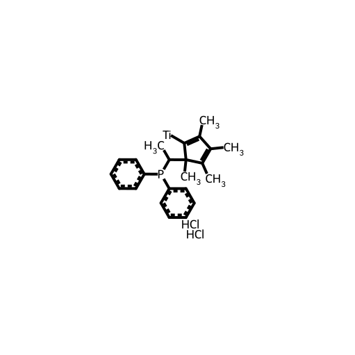 CC1=C(C)C(C)(C(C)P(c2ccccc2)c2ccccc2)[C]([Ti])=C1C.Cl.Cl